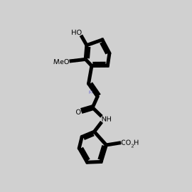 COc1c(O)cccc1/C=C/C(=O)Nc1ccccc1C(=O)O